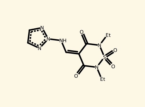 CCN1C(=O)C(=CNn2nccn2)C(=O)N(CC)S1(=O)=O